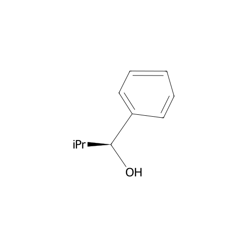 CC(C)[C@H](O)c1ccccc1